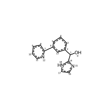 OC(c1cccc(-c2ccccn2)c1)c1ncc[nH]1